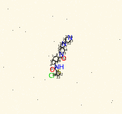 O=C(NC1CCc2ccc(C(=O)N3CCC4(CC3)CCN(c3ccncc3)C4)cc21)c1sccc1Cl